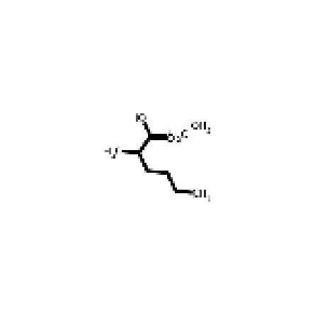 CCCCC(C)C(=O)O.O.O